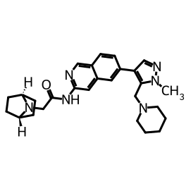 Cn1ncc(-c2ccc3cnc(NC(=O)CN4[C@H]5CC[C@H]4CC5)cc3c2)c1CN1CCCCC1